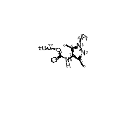 Cc1nn(C(C)C)c(C)c1NC(=O)OC(C)(C)C